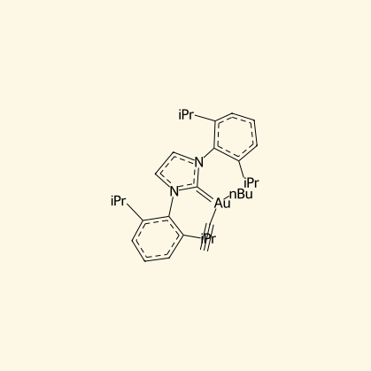 C#[C][Au]([CH2]CCC)=[c]1n(-c2c(C(C)C)cccc2C(C)C)ccn1-c1c(C(C)C)cccc1C(C)C